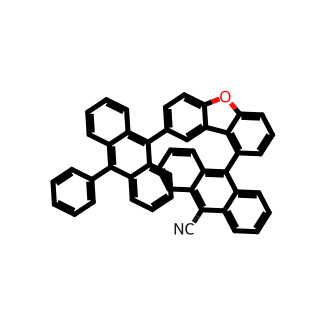 N#Cc1c2ccccc2c(-c2cccc3oc4ccc(-c5c6ccccc6c(-c6ccccc6)c6ccccc56)cc4c23)c2ccccc12